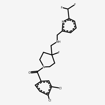 O=C(c1ccc(Cl)c(Cl)c1)N1CCC(F)(CNCc2cccc(C(F)F)n2)CC1